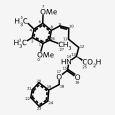 COc1c(C)c(C)c(OC)c(/C=C\CC[C@H](NC(=O)OCc2ccccc2)C(=O)O)c1C